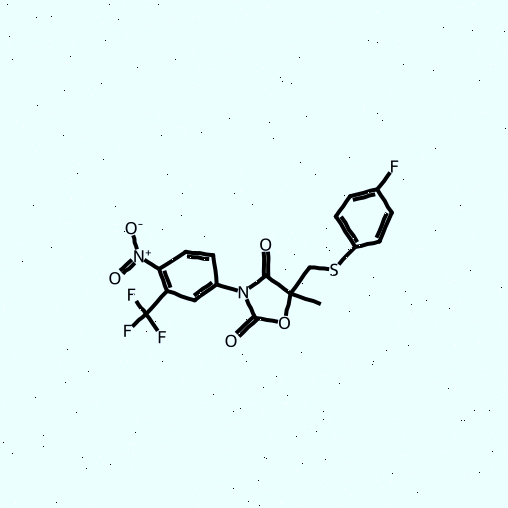 CC1(CSc2ccc(F)cc2)OC(=O)N(c2ccc([N+](=O)[O-])c(C(F)(F)F)c2)C1=O